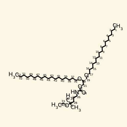 CCCCCCCCCCCCCCCCCCOC[C@H](COC(=O)NCCCC(C)(C)OCC)OCCCCCCCCCCCCCCCCCC